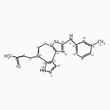 CC(=O)CCN1CCc2sc(Nc3cccc(C)n3)nc2-c2cn[nH]c21